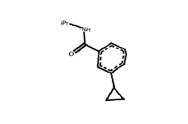 CC(C)NC(=O)c1cccc(C2CC2)c1